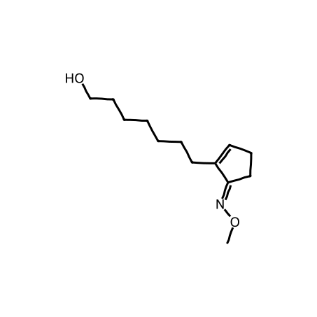 CON=C1CCC=C1CCCCCCCO